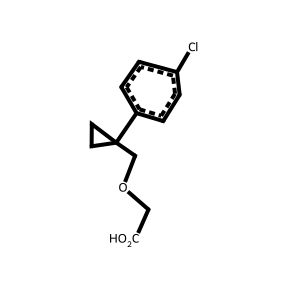 O=C(O)COCC1(c2ccc(Cl)cc2)CC1